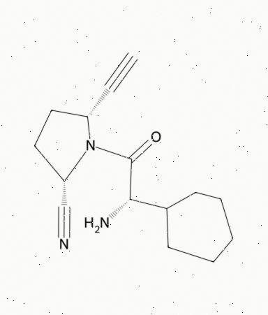 C#C[C@H]1CC[C@@H](C#N)N1C(=O)[C@@H](N)C1CCCCC1